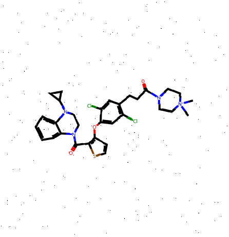 C[N+]1(C)CCN(C(=O)CCc2cc(Cl)c(Oc3ccsc3C(=O)N3CCN(C4CC4)c4ccccc43)cc2Cl)CC1